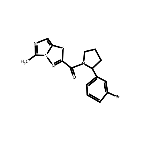 Cc1ncc2sc(C(=O)N3CCCC3c3cccc(Br)c3)nn12